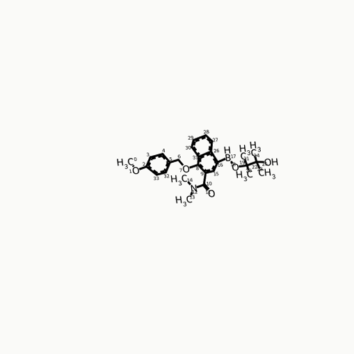 COc1ccc(COc2c(C(=O)N(C)C)cc(BOC(C)(C)C(C)(C)O)c3ccccc23)cc1